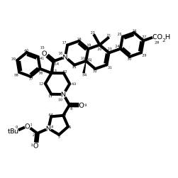 CC(C)(C)OC(=O)N1CCC(C(=O)N2CCC(C(=O)N3CC=C4C(C)(C)C(c5ccc(C(=O)O)cc5)=CC[C@]4(C)C3)(c3ccccc3)CC2)C1